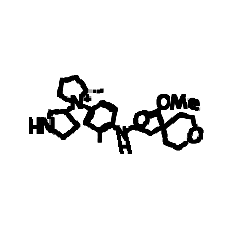 COC(=O)C1(CCNc2ccc([N+]3([C@H]4CCNC4)CCC[C@@H]3C)cc2C)CCOCC1